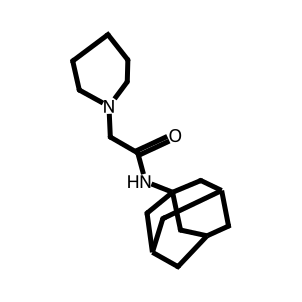 O=C(CN1CCCCC1)NC12CC3CC(CC(C3)C1)C2